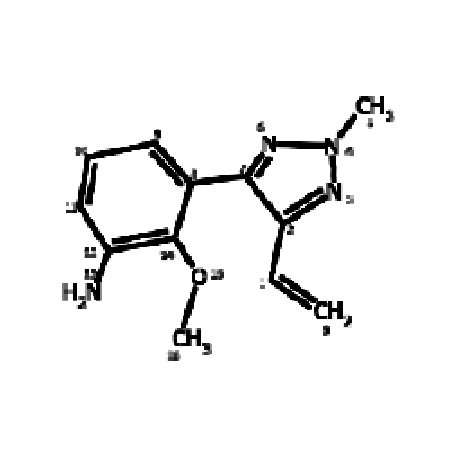 C=Cc1nn(C)nc1-c1cccc(N)c1OC